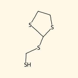 SCSC1SCCS1